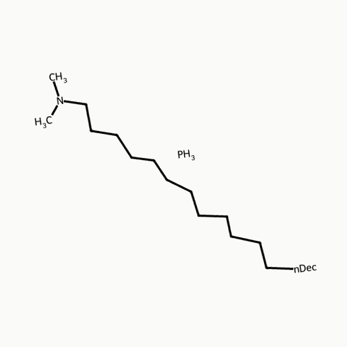 CCCCCCCCCCCCCCCCCCCCCCN(C)C.P